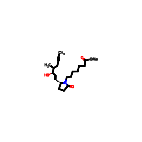 CC#CCC(C)[C@@H](O)/C=C/[C@H]1CCC(=O)N1CCCCCCC(=O)OC